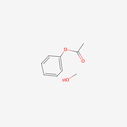 CC(=O)Oc1ccccc1.CO